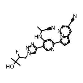 CC(C#N)Nc1cc(-c2ccc3cc(C#N)cnn23)ncc1-c1cn(CC(F)C(C)(C)O)nn1